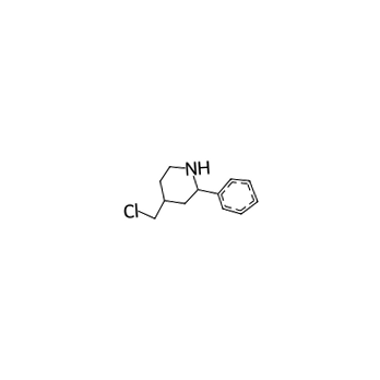 ClCC1CCNC(c2ccccc2)C1